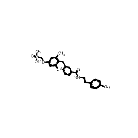 Cc1cc(OCP(=O)(O)O)cc(C)c1Cc1cccc(C(=O)NCCc2ccc(O)cc2)c1